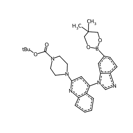 CC1(C)COB(c2ccc3ncn(-c4cc(N5CCN(C(=O)OC(C)(C)C)CC5)nc5ccccc45)c3c2)OC1